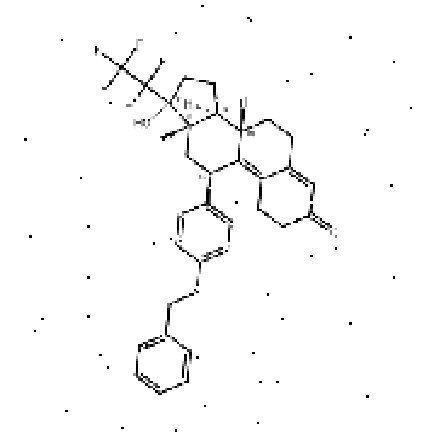 C[C@]12C[C@H](c3ccc(SCc4ccccc4)cc3)C3=C4CCC(=O)C=C4CC[C@H]3[C@@H]1CC[C@]2(O)C(F)(F)C(F)(F)F